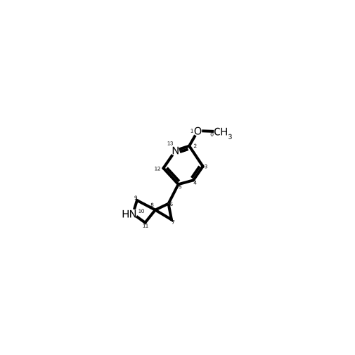 COc1ccc(C2CC23CNC3)cn1